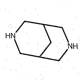 C1NCC2CNCC1C2